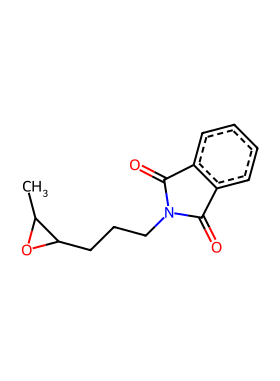 CC1OC1CCCN1C(=O)c2ccccc2C1=O